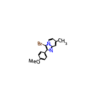 COc1ccc(-c2nc3cc(C)ccn3c2Br)cc1